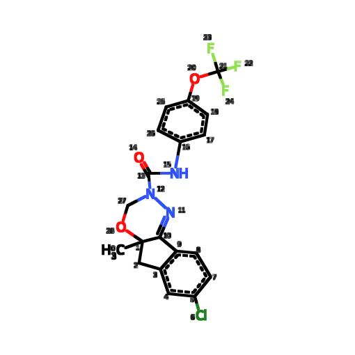 CC12Cc3cc(Cl)ccc3C1=NN(C(=O)Nc1ccc(OC(F)(F)F)cc1)CO2